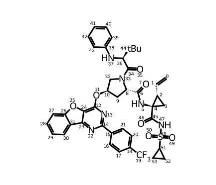 C=C[C@@H]1C[C@]1(NC(=O)[C@@H]1C[C@@H](Oc2nc(-c3ccc(C(F)(F)F)cc3)nc3c2oc2ccccc23)CN1C(=O)[C@@H](Nc1ccccc1)C(C)(C)C)C(=O)NS(=O)(=O)C1CC1